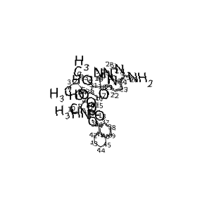 CCC(CC)COC(=O)[C@H](C)NP(=O)(OC[C@H]1O[C@@](C#N)(c2ccc3c(N)ncnn23)[C@H](O)[C@@H]1O)Oc1cccc2c1CCCC2